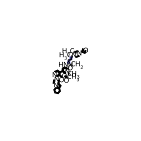 C=N/C(=C\C=C(/C)N1CCN(C2COC2)C[C@@H]1C)Nc1cc(-c2ccnc(N3CCn4c(cc5c4CCCC5)C3=O)c2COC(C)=O)cn(C)c1=O